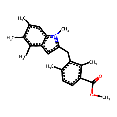 COC(=O)c1ccc(C)c(Cc2cc3c(C)c(C)c(C)cc3n2C)c1C